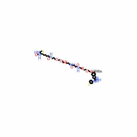 COc1cc2c(cc1OCCOCCOCCNC(=O)CCC(=O)NCCCOCCOCCOCCCNC(=O)CCCCC1SCC3NC(=O)NC31)Cc1c-2n[nH]c1Nc1cccc(F)c1